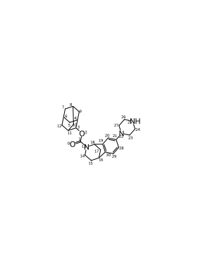 O=C(OC1C2CC3CC(C2)CC1C3)N1CCC2CC1c1cc(N3CCNCC3)ccc12